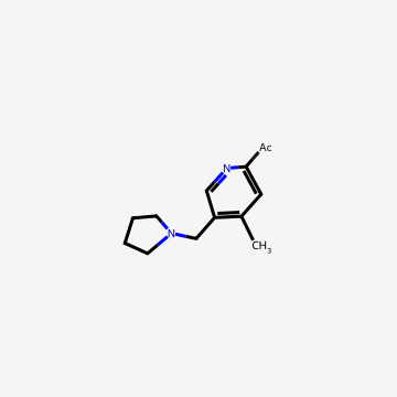 CC(=O)c1cc(C)c(CN2CCCC2)cn1